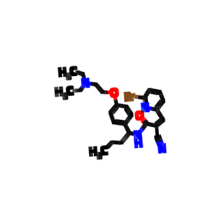 CCCC(NC(=O)C(C#N)=Cc1cccc(Br)n1)c1ccc(OCCN(CC)CC)cc1